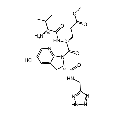 COC(=O)CC[C@H](NC(=O)[C@@H](N)C(C)C)C(=O)N1c2ncccc2C[C@H]1C(=O)NCc1nn[nH]n1.Cl